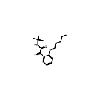 CCCCCOc1ccccc1C(=O)C(=O)NC(C)(C)C